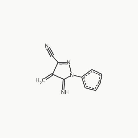 C=C1C(=N)N(c2ccccc2)N=C1C#N